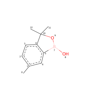 Cc1ccc2c(c1)B(O)OC2(C)C